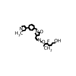 C=C/C(O/C=N/C=C\C1=CC(=O)N(CC2=CC=C(C3=CC=NC(C)C3)CC=C2)C1)=C(F)\C=C/CCO